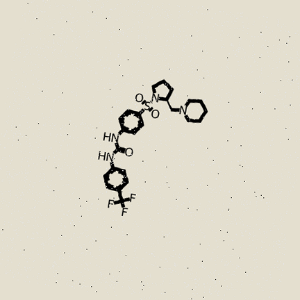 O=C(Nc1ccc(C(F)(F)F)cc1)Nc1ccc(S(=O)(=O)N2CCC[C@H]2CN2CCCCC2)cc1